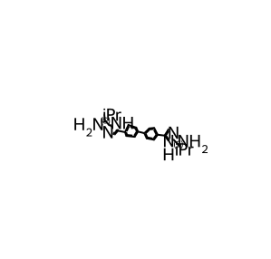 CC(C)[C@H](N)c1ncc(-c2ccc(-c3ccc(-c4cnc([C@@H](N)C(C)C)[nH]4)cc3)cc2)[nH]1